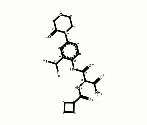 NC(=O)[C@@H](NC(=O)C1CCC1)C(=O)Nc1ccc(N2CCOCC2=O)cc1C(F)F